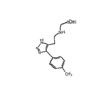 CCCCCCCCCCCNCCc1[nH]nnc1-c1ccc(C)cc1